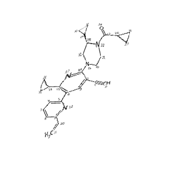 C#Cc1cc(-c2cccc(C=C)n2)c(C2CC2)nc1N1CCN(C(=O)C2CC2)[C@H](C2CC2)C1